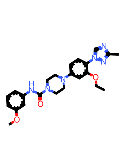 CCOc1cc(N2CCN(C(=O)Nc3cccc(OC)c3)CC2)ccc1-n1cnc(C)n1